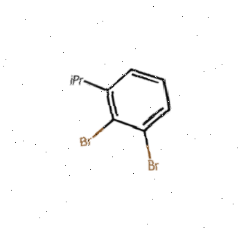 [CH2]C(C)c1cccc(Br)c1Br